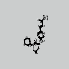 CC(C)C[C@@H](Nc1cnc(/C=C/C(=O)NO)cn1)C(=O)NC1CCCCC1